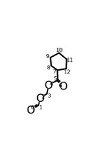 O=COCOC(=O)C1CCCCC1